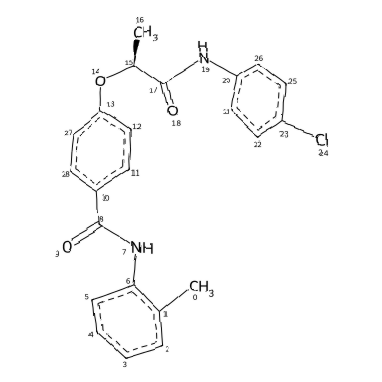 Cc1ccccc1NC(=O)c1ccc(O[C@@H](C)C(=O)Nc2ccc(Cl)cc2)cc1